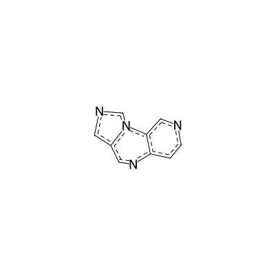 c1cc2ncc3cncn3c2cn1